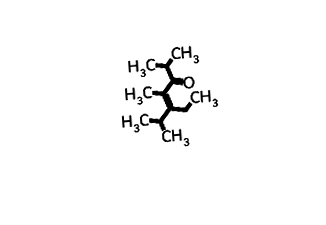 CCC(=C(C)C(=O)C(C)C)C(C)C